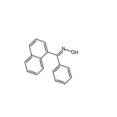 O/N=C(\c1ccccc1)c1cccc2ccccc12